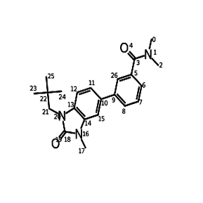 CN(C)C(=O)c1cccc(-c2ccc3c(c2)n(C)c(=O)n3CC(C)(C)C)c1